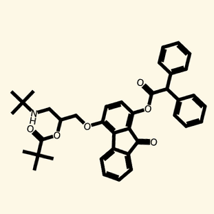 CC(C)(C)NCC(COc1ccc(OC(=O)C(c2ccccc2)c2ccccc2)c2c1-c1ccccc1C2=O)OC(=O)C(C)(C)C